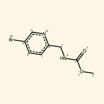 COC(=O)NCc1ccc(Br)cn1